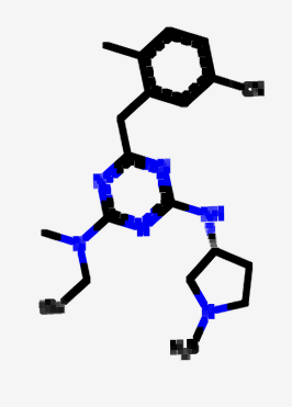 BN1CC[C@@H](Nc2nc(Cc3cc(C#N)ccc3C)nc(N(C)CC(C)(C)C)n2)C1